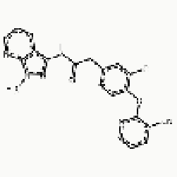 Cn1nc(NC(=O)Cc2ccc(Oc3ncccc3C#N)c(Cl)c2)c2cccnc21